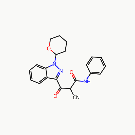 N#CC(C(=O)Nc1ccccc1)C(=O)c1nn(C2CCCCO2)c2ccccc12